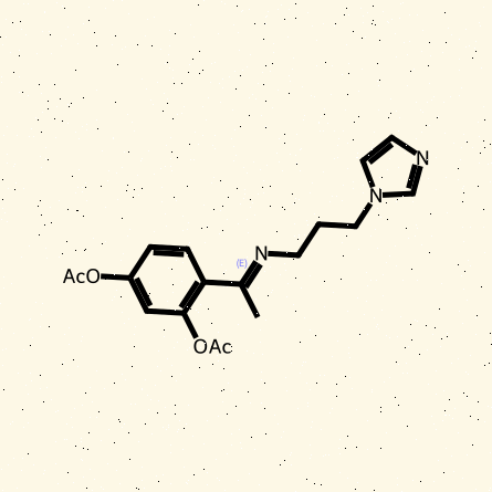 CC(=O)Oc1ccc(/C(C)=N/CCCn2ccnc2)c(OC(C)=O)c1